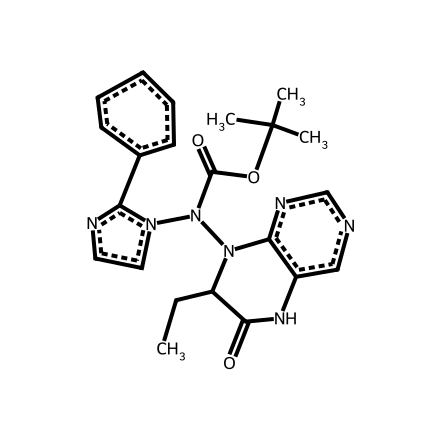 CCC1C(=O)Nc2cncnc2N1N(C(=O)OC(C)(C)C)n1ccnc1-c1ccccc1